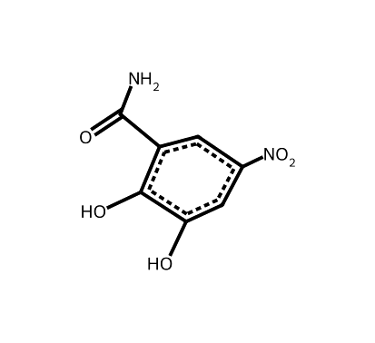 NC(=O)c1cc([N+](=O)[O-])cc(O)c1O